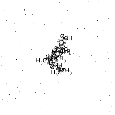 CC(C)[C@@H]1CC[C@]2(C(=O)NCCN(C)C)CC[C@]3(C)[C@H](CC[C@@H]4[C@@]5(C)CC[C@@H](c6ccc(C(=O)O)cc6)C(C)(C)[C@@H]5CC[C@]43C)[C@@H]12